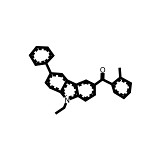 CCn1c2ccc(C(=O)c3ccccc3C)cc2c2cc(-c3ccccc3)ccc21